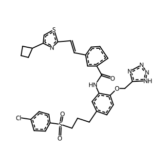 O=C(Nc1cc(CCCS(=O)(=O)c2ccc(Cl)cc2)ccc1OCc1nnn[nH]1)c1cccc(/C=C/c2nc(C3CCC3)cs2)c1